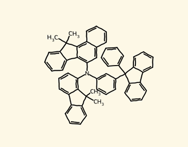 CC1(C)c2ccccc2-c2cccc(N(c3cccc(C4(c5ccccc5)c5ccccc5-c5ccccc54)c3)c3cc4ccccc4c4c3-c3ccccc3C4(C)C)c21